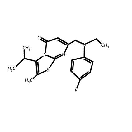 CCN(Cc1cc(=O)n2c(C(C)C)c(C)sc2n1)c1ccc(F)cc1